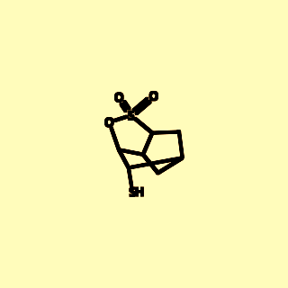 O=S1(=O)OC2C(S)C3CC2C1C3